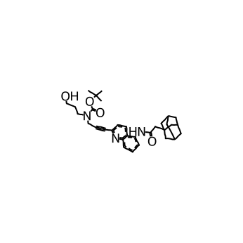 CC(C)(C)OC(=O)N(CC#Cc1ccc2c(NC(=O)CC34CC5CC(CC(C5)C3)C4)cccc2n1)CCCO